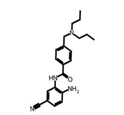 CCCN(CCC)Cc1ccc(C(=O)Nc2cc(C#N)ccc2N)cc1